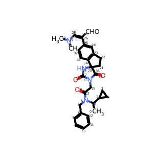 CC(C1CC1)N(Cc1ccccc1)C(=O)CN1C(=O)NC2(CCc3cc(/C(C=O)=C\N(C)C)ccc32)C1=O